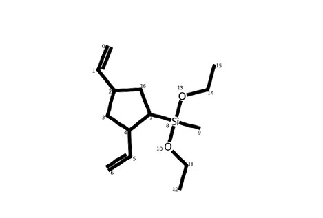 C=CC1CC(C=C)C([Si](C)(OCC)OCC)C1